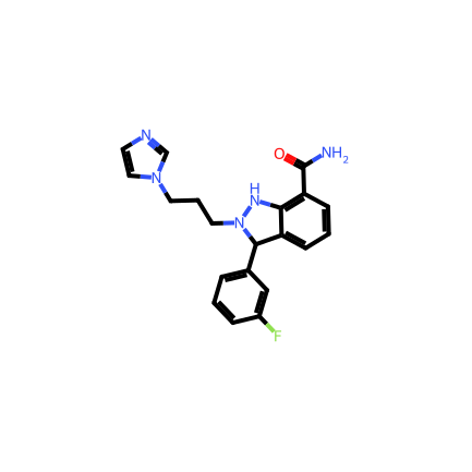 NC(=O)c1cccc2c1NN(CCCn1ccnc1)C2c1cccc(F)c1